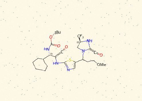 COCCC(c1cnc(NC(=C=O)[C@@H](NC(=O)OC(C)(C)C)C2CCCCC2)s1)N1C[C@@H](C(F)(F)F)NC1=C=O